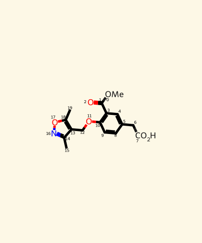 COC(=O)c1cc(CC(=O)O)ccc1OCc1c(C)noc1C